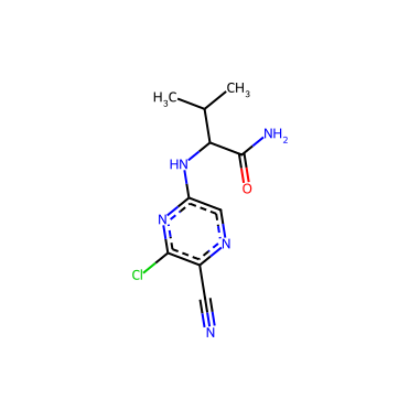 CC(C)C(Nc1cnc(C#N)c(Cl)n1)C(N)=O